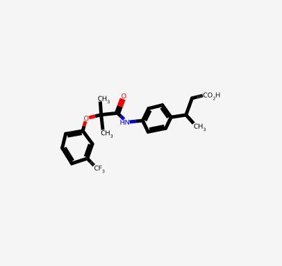 CC(CC(=O)O)c1ccc(NC(=O)C(C)(C)Oc2cccc(C(F)(F)F)c2)cc1